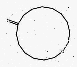 O=C1CCCCCCCCOCCCCCC1